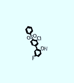 O=S(=O)(c1ccccc1)c1ccc(-c2cc(F)ccc2O)cc1Cl